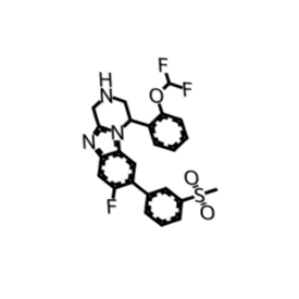 CS(=O)(=O)c1cccc(-c2cc3c(cc2F)nc2n3C(c3ccccc3OC(F)F)CNC2)c1